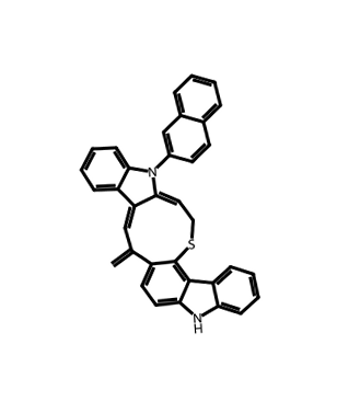 C=C1/C=c2\c(n(-c3ccc4ccccc4c3)c3ccccc23)=C/CSc2c1ccc1[nH]c3ccccc3c21